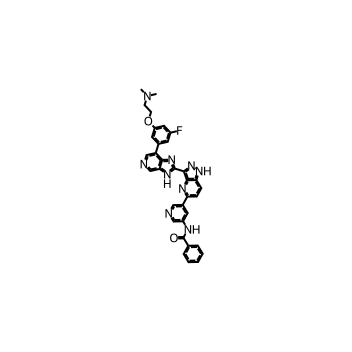 CN(C)CCOc1cc(F)cc(-c2cncc3[nH]c(-c4n[nH]c5ccc(-c6cncc(NC(=O)c7ccccc7)c6)nc45)nc23)c1